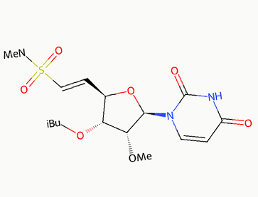 CCC(C)O[C@H]1[C@@H](OC)[C@H](n2ccc(=O)[nH]c2=O)O[C@@H]1/C=C/S(=O)(=O)NC